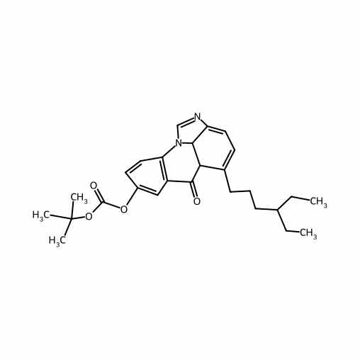 CCC(CC)CCCC1=CC=C2N=CN3c4ccc(OC(=O)OC(C)(C)C)cc4C(=O)C1C23